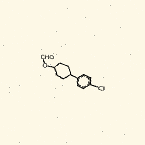 O=COC1CCC(c2ccc(Cl)cc2)CC1